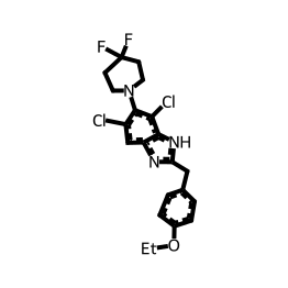 CCOc1ccc(Cc2nc3cc(Cl)c(N4CCC(F)(F)CC4)c(Cl)c3[nH]2)cc1